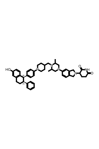 CC1CN(c2ccc3c(c2)CN(C2CCC(=O)NC2=O)C3)CC(C)N1CC1CCN(c2ccc([C@@H]3c4ccc(O)cc4CC[C@@H]3c3ccccc3)cc2)CC1